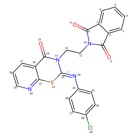 O=C1c2ccccc2C(=O)N1CCn1c(=O)c2cccnc2s/c1=N\c1ccc(Cl)cc1